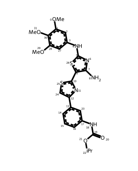 COc1cc(Nc2nc(N)c(-c3nc(-c4cccc(NC(=O)OC(C)C)c4)cs3)s2)cc(OC)c1OC